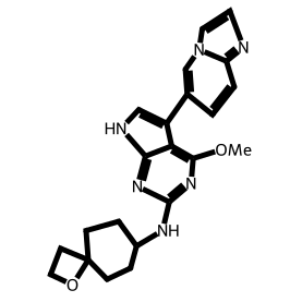 COc1nc(NC2CCC3(CCO3)CC2)nc2[nH]cc(-c3ccc4nccn4c3)c12